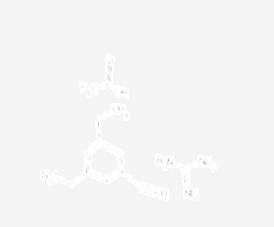 C#Cc1cc(CC)cc(CC)c1.CC(=O)O.N=C(N)N